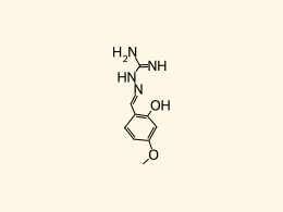 COc1ccc(C=NNC(=N)N)c(O)c1